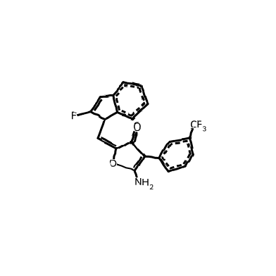 NC1=C(c2cccc(C(F)(F)F)c2)C(=O)C(=CC2C(F)=Cc3ccccc32)O1